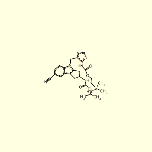 CC(C)OC(=O)NC1Cc2c(n(Cc3scnc3NC(=O)OCC[Si](C)(C)C)c3ccc(C#N)cc23)C1